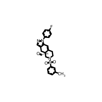 Cc1cccc(S(=O)(=O)N2CCC3=Cc4c(cnn4-c4ccc(F)cc4)C[C@]3(C=O)C2)c1